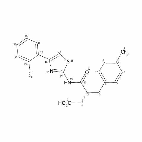 O=C(O)C[C@@H](Cc1ccc(C(F)(F)F)cc1)C(=O)Nc1nc(-c2ccccc2Cl)cs1